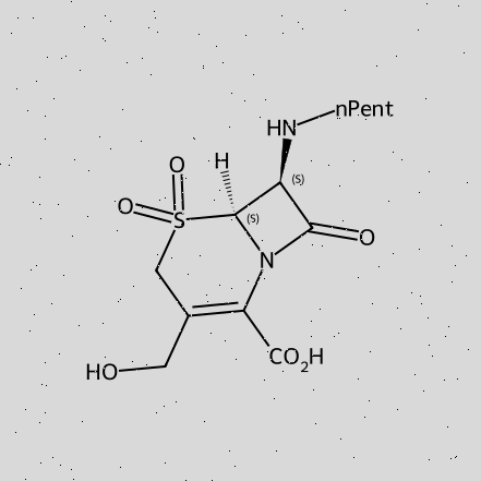 CCCCCN[C@H]1C(=O)N2C(C(=O)O)=C(CO)CS(=O)(=O)[C@@H]12